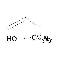 C=CC.O=C(O)O.[Ag]